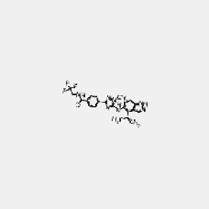 C=C(C)c1c(Nc2nc(-c3ccc(C(=O)NCC(F)(F)F)cc3)nn2C)ccc2[nH]ncc12